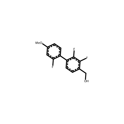 COc1ccc(-c2ccc(CO)c(F)c2F)c(F)c1